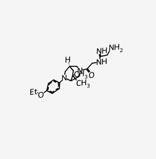 CCOc1ccc(N2C[C@H]3CN(C(=O)CNC(=N)CN)CC2C(C)(C)C3)cc1